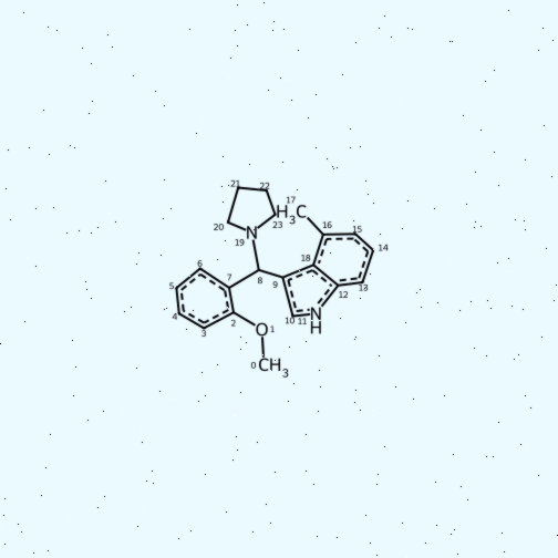 COc1ccccc1C(c1c[nH]c2cccc(C)c12)N1CCCC1